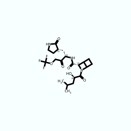 CC(C)C[C@@H](O)C(=O)N1C2CCC2[C@H]1C(=O)N[C@@H](C[C@@H]1CCNC1=O)C(=O)COC(F)(F)F